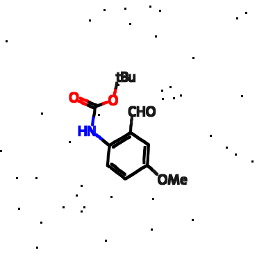 COc1ccc(NC(=O)OC(C)(C)C)c(C=O)c1